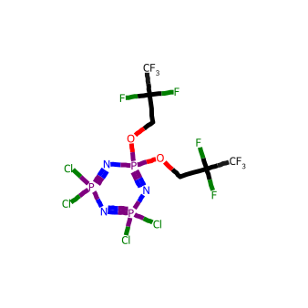 FC(F)(F)C(F)(F)COP1(OCC(F)(F)C(F)(F)F)=NP(Cl)(Cl)=NP(Cl)(Cl)=N1